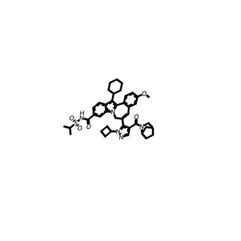 COc1ccc2c(c1)C=C(c1c(C(=O)N3CC4CCC3C4)cnn1C1CCC1)Cn1c-2c(C2CCCCC2)c2ccc(C(=O)NS(=O)(=O)C(C)C)cc21